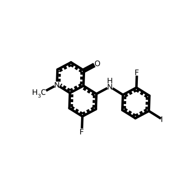 Cn1ccc(=O)c2c(Nc3ccc(I)cc3F)cc(F)cc21